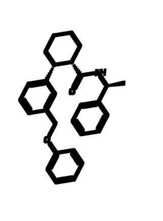 C[C@H](NC(=O)[C@H]1CCCC[C@H]1c1cccc(COc2ccccc2)c1)c1ccccc1